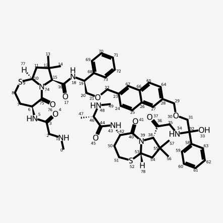 CNCC(=O)N[C@H]1CCS[C@H]2CC(C)(C)[C@@H](C(=O)N[C@H](COCc3ccc4cc(COCC(O)(NCC(=O)[C@H]5N6C(=O)[C@@H](NC(=O)[C@H](C)NC)CCS[C@H]6CC5(C)C)c5ccccc5)ccc4c3)c3ccccc3)N2C1=O